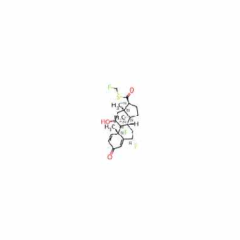 C[C@]12C=CC(=O)C=C1[C@@H](F)C[C@@H]1[C@]2(F)[C@@H](O)C[C@]2(C)[C@@H](C(=O)SCF)CC[C@@]12C